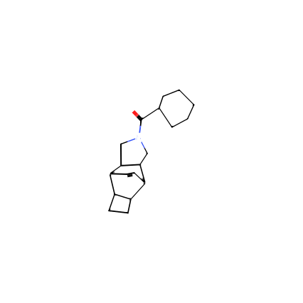 O=C(C1CCCCC1)N1CC2C3C=CC(C4CCC34)C2C1